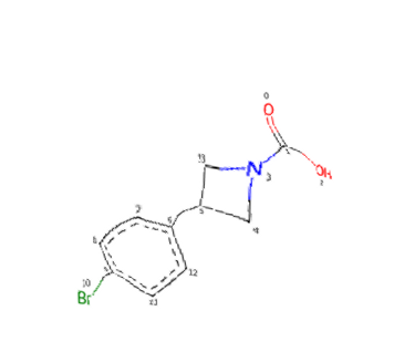 O=C(O)N1CC(c2ccc(Br)cc2)C1